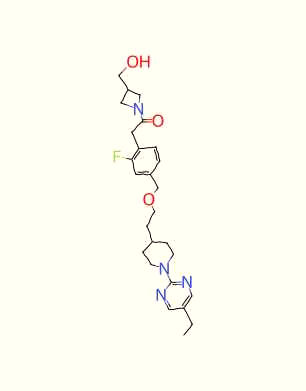 CCc1cnc(N2CCC(CCOCc3ccc(CC(=O)N4CC(CO)C4)c(F)c3)CC2)nc1